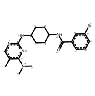 Cc1cnc(NC2CCC(NC(=O)c3cccc(Br)c3)CC2)nc1N(C)C